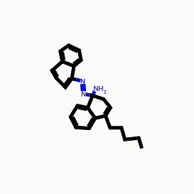 CCCCCC1=CCC(N)(N=Nc2cccc3ccccc23)c2ccccc21